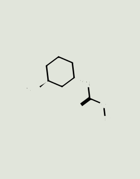 CC(=O)O[C@H]1CCC[C@H](NC(=O)OC(C)(C)C)C1